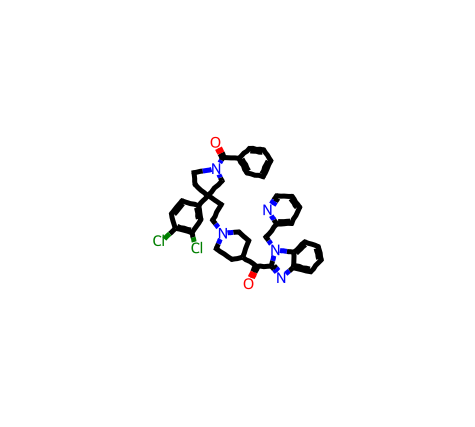 O=C(c1nc2ccccc2n1Cc1ccccn1)C1CCN(CCC2(c3ccc(Cl)c(Cl)c3)CCN(C(=O)c3ccccc3)C2)CC1